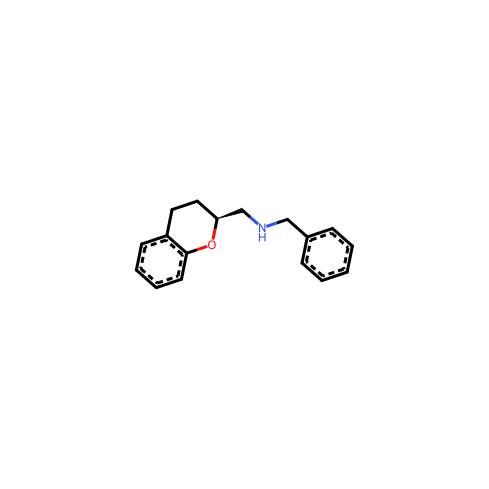 c1ccc(CNC[C@@H]2CCc3ccccc3O2)cc1